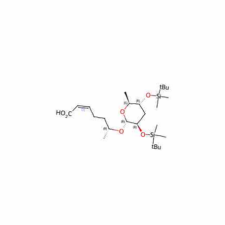 C[C@H](CC/C=C\C(=O)O)O[C@@H]1O[C@@H](C)[C@H](O[Si](C)(C)C(C)(C)C)C[C@H]1O[Si](C)(C)C(C)(C)C